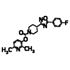 Cc1ccc(OC(=O)N2CCC(c3noc(-c4ccc(F)cc4)n3)CC2)c(C)n1